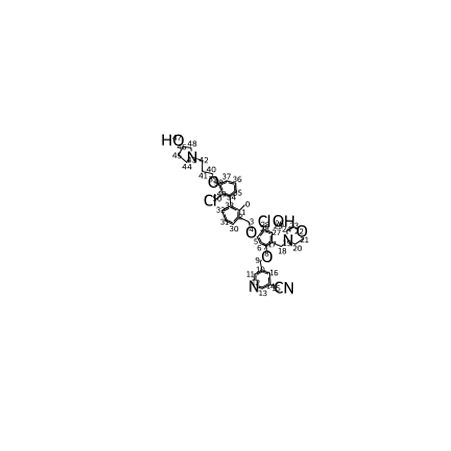 Cc1c(COc2cc(OCc3cncc(C#N)c3)c(CN3CCOC[C@H]3CO)cc2Cl)cccc1-c1cccc(OCCCN2CC[C@@H](O)C2)c1Cl